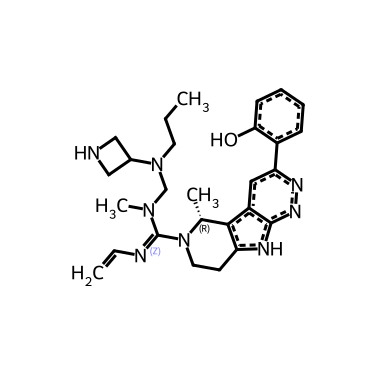 C=C/N=C(\N(C)CN(CCC)C1CNC1)N1CCc2[nH]c3nnc(-c4ccccc4O)cc3c2[C@H]1C